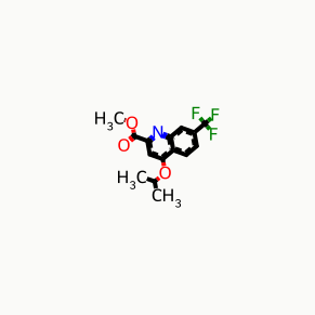 COC(=O)c1cc(OC(C)C)c2ccc(C(F)(F)F)cc2n1